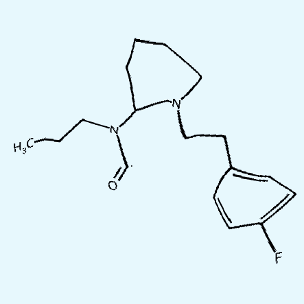 CCCN([C]=O)C1CCCCN1CCc1ccc(F)cc1